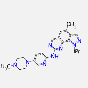 Cc1cc2cnc(Nc3ccc(N4CCN(C)CC4)cn3)nc2c2c1cnn2C(C)C